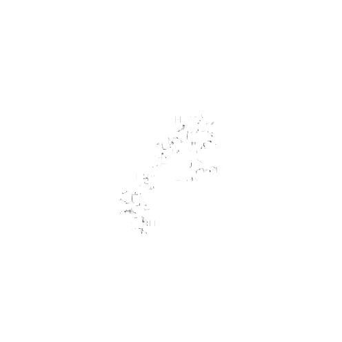 CCC(C)(C)C(=O)C(=O)N1CCCC[C@H]1C(=O)C[C@H](CCc1ccc(OC)c(OC)c1)c1cccc(NC(=O)C(=O)NCCCCNC(=O)COc2cccc3c2C(=O)N(C2CCC(=O)NC2=O)C3=O)c1